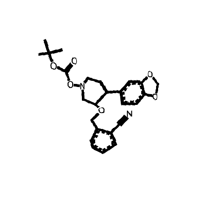 CC(C)(C)OC(=O)ON1CCC(c2ccc3c(c2)OCO3)C(OCc2ccccc2C#N)C1